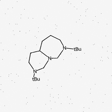 CC(C)(C)N1CCCC2CCN(C(C)(C)C)CN2C1